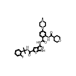 CN1CCN(c2ccc(C(=O)Nc3n[nH]c4sc(C(=O)NC(C)(C)c5ccccc5F)cc34)c(NC(=O)C3CCOCC3)c2)CC1